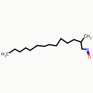 CCCCCCCCCCCCC(C)CN=O